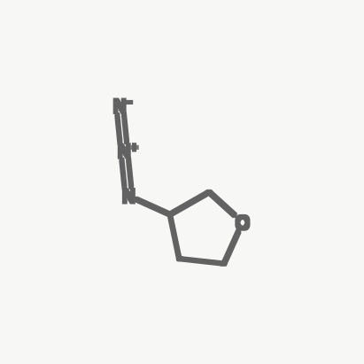 [N-]=[N+]=NC1CCOC1